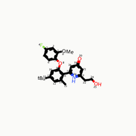 COc1cc(F)ccc1Oc1cc(C(C)(C)C)cc(C)c1-c1cc(=O)cc(CCO)[nH]1